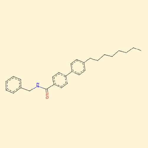 CCCCCCCCc1ccc(-c2ccc(C(=O)NCc3ccccc3)cc2)cc1